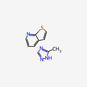 Cc1ncn[nH]1.c1cnc2sccc2c1